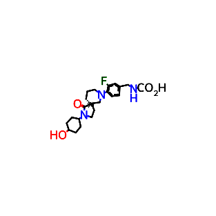 O=C(O)NCc1ccc(N2CCC[C@@]3(CCN(C4CCC(O)CC4)C3=O)C2)c(F)c1